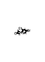 CCc1cc(Br)cnc1N1CC(=O)C1